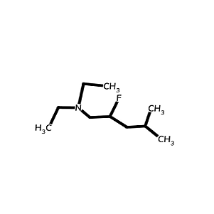 CCN(CC)CC(F)CC(C)C